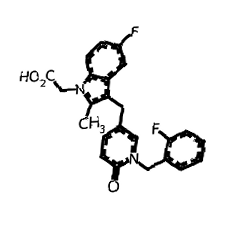 Cc1c(Cc2ccc(=O)n(Cc3ccccc3F)c2)c2cc(F)ccc2n1CC(=O)O